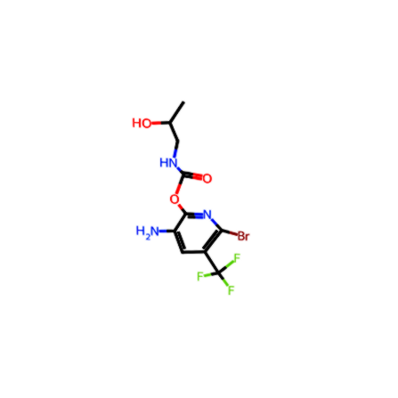 CC(O)CNC(=O)Oc1nc(Br)c(C(F)(F)F)cc1N